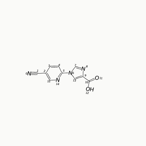 N#Cc1ccc(-n2cnc(C(=O)O)c2)nc1